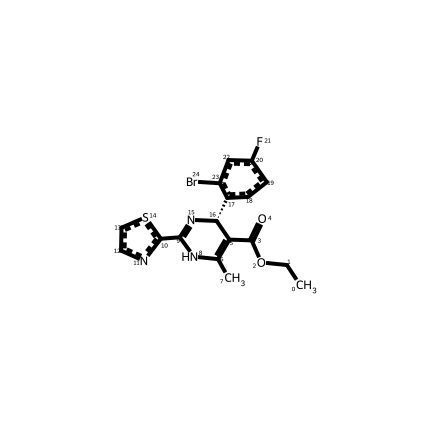 CCOC(=O)C1=C(C)NC(c2nccs2)=N[C@@H]1c1ccc(F)cc1Br